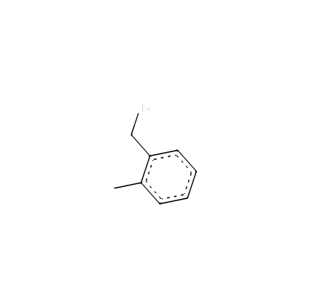 CCC(C)Cc1[c]cccc1C